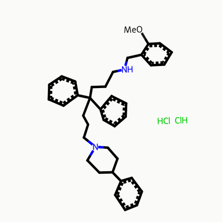 COc1ccccc1CNCCCC(CCCN1CCC(c2ccccc2)CC1)(c1ccccc1)c1ccccc1.Cl.Cl